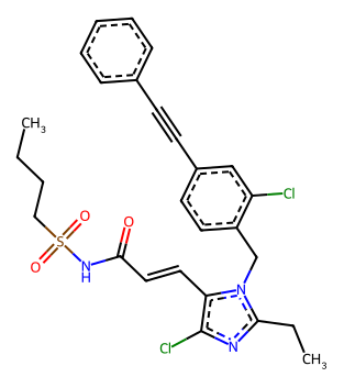 CCCCS(=O)(=O)NC(=O)/C=C/c1c(Cl)nc(CC)n1Cc1ccc(C#Cc2ccccc2)cc1Cl